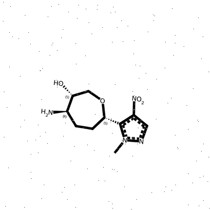 Cn1ncc([N+](=O)[O-])c1[C@@H]1CC[C@@H](N)[C@H](O)CO1